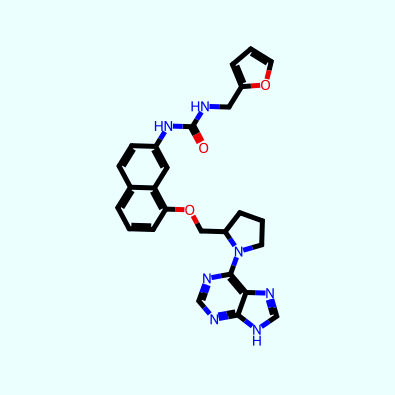 O=C(NCc1ccco1)Nc1ccc2cccc(OCC3CCCN3c3ncnc4[nH]cnc34)c2c1